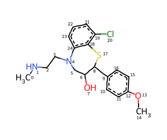 CNCCN1CC(O)C(c2ccc(OC)cc2)Sc2c(Cl)cccc21